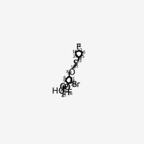 O=P(O)(Oc1ccc(COCCSCc2ccc(F)cc2)cc1Br)C(F)F